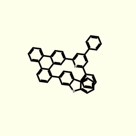 c1ccc(-c2cc(-c3ccccc3)nc(-c3ccc4c5ccccc5c5cccc(-c6ccc7c(c6)sc6ccccc67)c5c4c3)c2)cc1